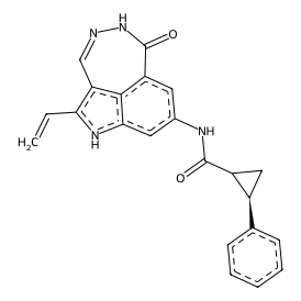 C=Cc1[nH]c2cc(NC(=O)C3C[C@H]3c3ccccc3)cc3c2c1C=NNC3=O